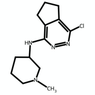 CN1CCCC(Nc2nnc(Cl)c3c2CCC3)C1